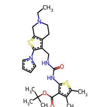 CCN1CCc2c(sc(-n3cccc3)c2CNC(=O)Nc2sc(C)c(C)c2C(=O)OC(C)(C)C)C1